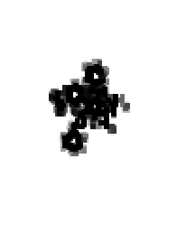 CC1=C(C(=O)OCc2ccccc2)C(c2cccc([N+](=O)[O-])c2)C(S(=O)(=O)c2ccccc2)=C(N)N1